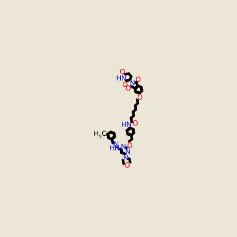 Cc1cccc(/C=N/Nc2cc(N3CCOCC3)nc(OCCc3ccc(NC(=O)CCCCCCCOc4ccc5c(c4)C(=O)N(C4CCC(=O)NC4=O)C5=O)cc3)n2)c1